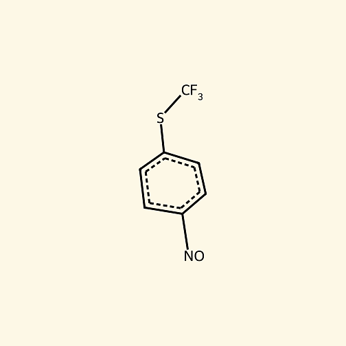 O=Nc1ccc(SC(F)(F)F)cc1